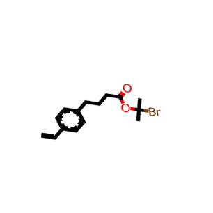 C=Cc1ccc(CCCC(=O)OC(C)(C)Br)cc1